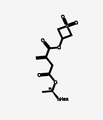 C=C(CC(=O)O[C@H](C)CCCCCC)C(=O)OC1CS(=O)(=O)C1